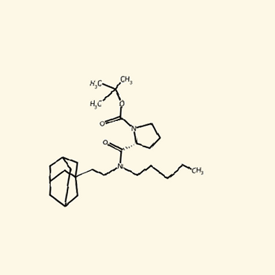 CCCCCN(CCC12CC3CC(CC(C3)C1)C2)C(=O)[C@H]1CCCN1C(=O)OC(C)(C)C